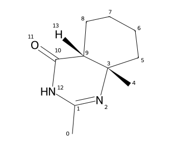 CC1=N[C@@]2(C)CCCC[C@H]2C(=O)N1